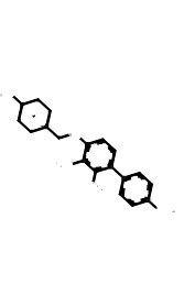 CCCCCc1ccc(-c2ccc(OCC34CCC(CCC)(CC3)CC4)c(C#N)c2C#N)cc1